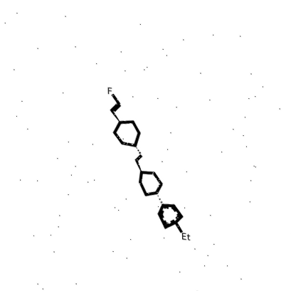 CCc1ccc([C@H]2CC[C@H](CC[C@H]3CC[C@H](C=CF)CC3)CC2)cc1